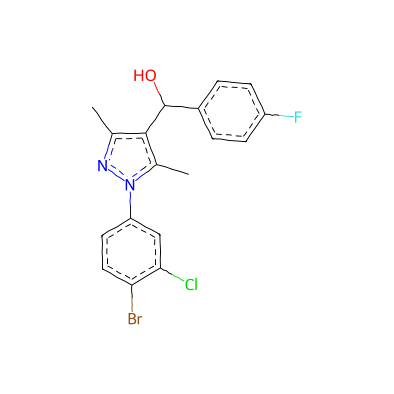 Cc1nn(-c2ccc(Br)c(Cl)c2)c(C)c1C(O)c1ccc(F)cc1